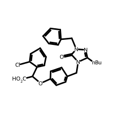 CCCCc1nn(Cc2ccccc2)c(=O)n1Cc1ccc(OC(C(=O)O)c2ccccc2Cl)cc1